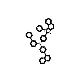 c1ccc(-c2cccc(N(c3ccc(-c4cccc5ccccc45)cc3)c3ccc(-c4nc5ccc6ccccc6c5n4-c4ccccc4)cc3)c2)cc1